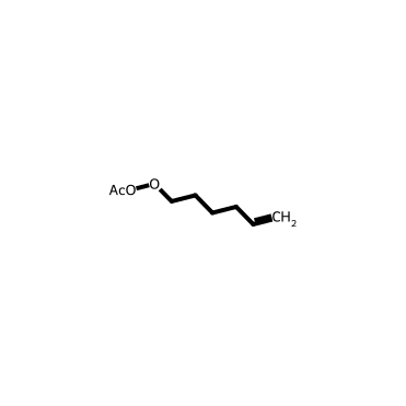 C=CCCCCOOC(C)=O